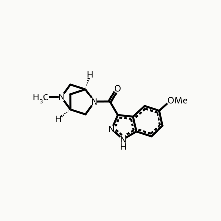 COc1ccc2[nH]nc(C(=O)N3C[C@@H]4C[C@H]3CN4C)c2c1